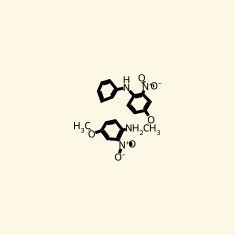 COc1ccc(N)c([N+](=O)[O-])c1.COc1ccc(Nc2ccccc2)c([N+](=O)[O-])c1